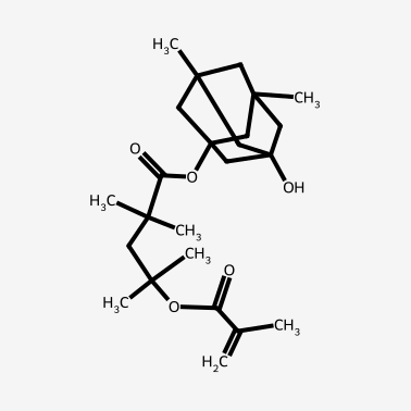 C=C(C)C(=O)OC(C)(C)CC(C)(C)C(=O)OC12CC3(C)CC(C)(CC(O)(C3)C1)C2